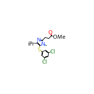 COC(=O)CCc1nc(C(C)C)c(Sc2cc(Cl)cc(Cl)c2)n1C